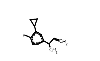 C=C[C](C)c1ccc(I)c(C2CC2)c1